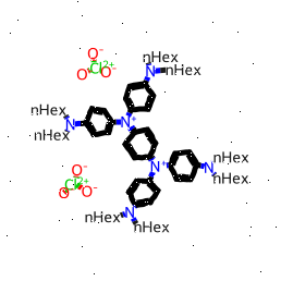 CCCCCCN(CCCCCC)c1ccc([N+](=C2C=CC(=[N+](c3ccc(N(CCCCCC)CCCCCC)cc3)c3ccc(N(CCCCCC)CCCCCC)cc3)C=C2)c2ccc(N(CCCCCC)CCCCCC)cc2)cc1.[O-][Cl+2]([O-])[O-].[O-][Cl+2]([O-])[O-]